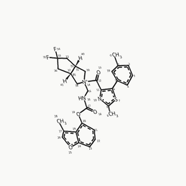 Cc1cccc(-c2sc(C)nc2C(=O)[N+]2(CNC(=O)Oc3cccc4occ(C)c34)C[C@H]3CC(F)(F)C[C@H]3C2)c1